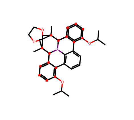 CC(C)Oc1cccc(OC(C)C)c1-c1cccc(-c2c(OC(C)C)cccc2OC(C)C)c1P1C(c2ccccc2)CC2(CC1c1ccccc1)OCCO2